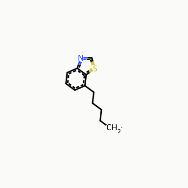 [CH2]CCCCc1cccc2ncsc12